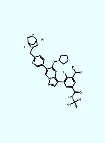 [2H]C([2H])([2H])NC(=O)c1cc(-c2cnn3cc(-c4ccc(CN5C[C@H]6C[C@@H]5CO6)nc4)c(O[C@H]4CCOC4)nc23)c(F)c(C(F)F)c1